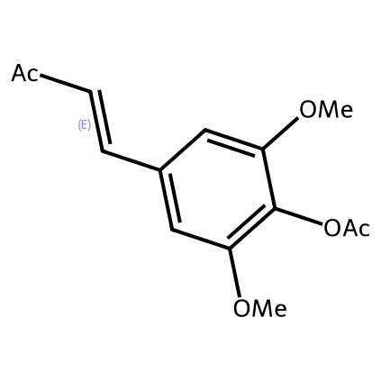 COc1cc(/C=C/C(C)=O)cc(OC)c1OC(C)=O